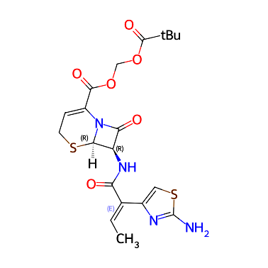 C/C=C(/C(=O)N[C@@H]1C(=O)N2C(C(=O)OCOC(=O)C(C)(C)C)=CCS[C@H]12)c1csc(N)n1